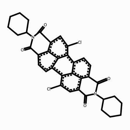 O=C1c2ccc3c4c(Cl)cc5c6c(ccc(c7c(Cl)cc(c2c37)C(=O)N1C1CCCCC1)c64)C(=O)N(C1CCCCC1)C5=O